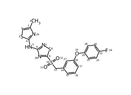 Cc1csc(Nc2nsc(S(=O)(=O)Cc3cccc(Oc4ccc(F)cc4)c3)n2)n1